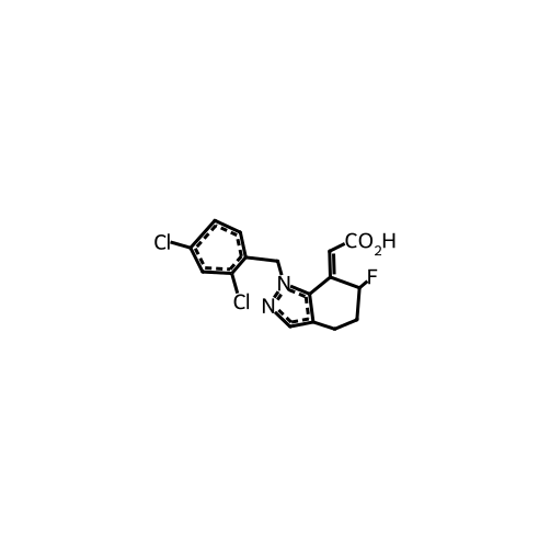 O=C(O)C=C1c2c(cnn2Cc2ccc(Cl)cc2Cl)CCC1F